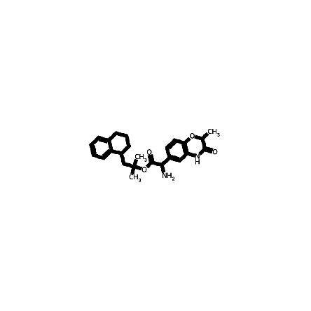 CC1Oc2ccc(C(N)C(=O)OC(C)(C)CC3CCCc4ccccc43)cc2NC1=O